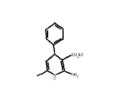 CCOC(=O)C1=C(N)NC(C)=CC1c1ccccc1